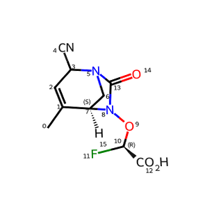 CC1=CC(C#N)N2C[C@H]1N(O[C@H](F)C(=O)O)C2=O